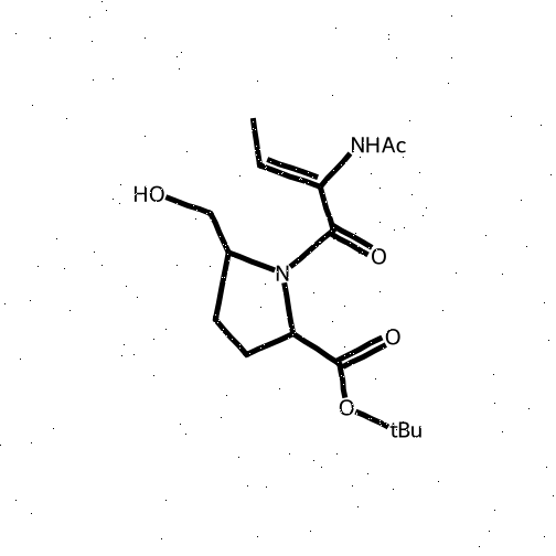 CC=C(NC(C)=O)C(=O)N1C(CO)CCC1C(=O)OC(C)(C)C